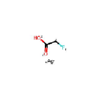 O=C(O)CF.[Ag]